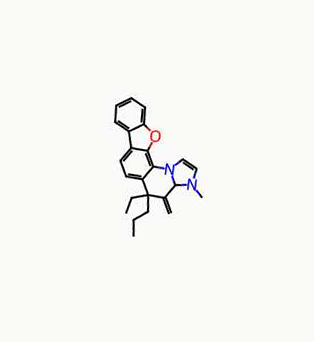 C=C1C2N(C)C=CN2c2c(ccc3c2oc2ccccc23)C1(CC)CCC